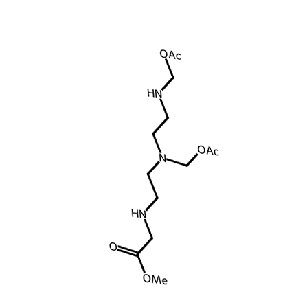 COC(=O)CNCCN(CCNCOC(C)=O)COC(C)=O